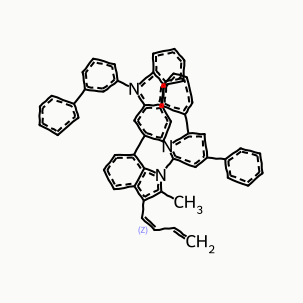 C=C/C=C\c1c(C)n(-c2cc(-c3ccccc3)cc(-c3ccccc3)n2)c2c(-c3ccc4c5ccccc5n(-c5cccc(-c6ccccc6)c5)c4c3)cccc12